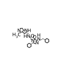 Cc1nccc2[nH]c(CNC(=O)Cn3c(-c4ccccc4)cnc(NCCc4ccccc4)c3=O)cc12